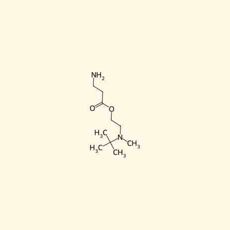 CN(CCOC(=O)CCN)C(C)(C)C